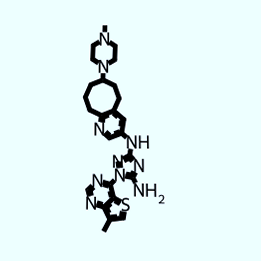 Cc1csc2c(-n3nc(Nc4cnc5c(c4)CCC(N4CCN(C)CC4)CCC5)nc3N)ncnc12